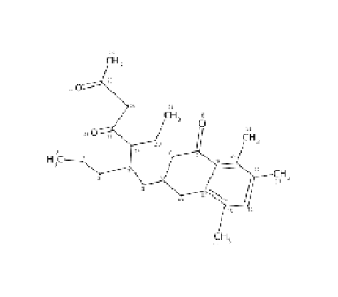 CCCC(CC1CC(=O)c2c(C)c(C)cc(C)c2C1)C(CC)C(=O)CC(C)=O